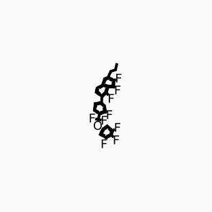 CCCc1cc2ccc(-c3ccc(C(F)(F)Oc4cc(F)c(F)c(F)c4)c(F)c3)c(F)c2c(F)c1F